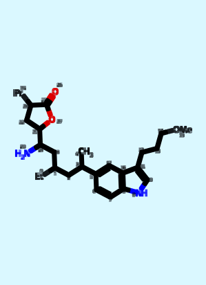 CCC(CC(C)c1ccc2[nH]cc(CCCOC)c2c1)CC(N)C1CC(C(C)C)C(=O)O1